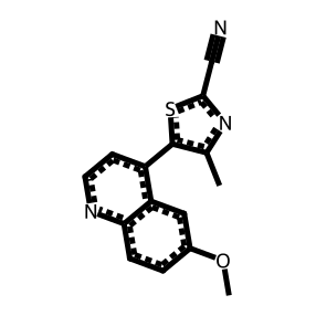 COc1ccc2nccc(-c3sc(C#N)nc3C)c2c1